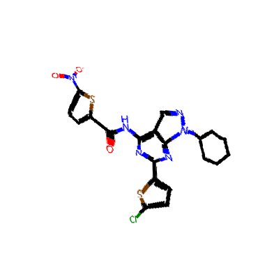 O=C(Nc1nc(-c2ccc(Cl)s2)nc2c1cnn2C1CCCCC1)c1ccc([N+](=O)[O-])s1